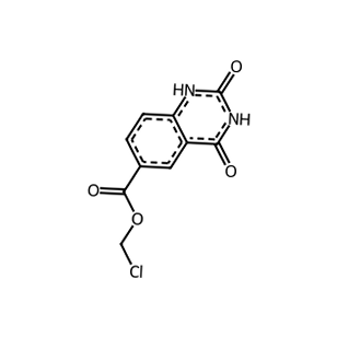 O=C(OCCl)c1ccc2[nH]c(=O)[nH]c(=O)c2c1